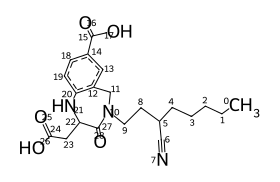 CCCCCC(C#N)CCN1Cc2cc(C(=O)O)ccc2NC(CC(=O)O)C1=O